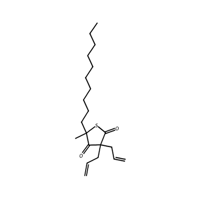 C=CCC1(CC=C)C(=O)SC(C)(CCCCCCCCCC)C1=O